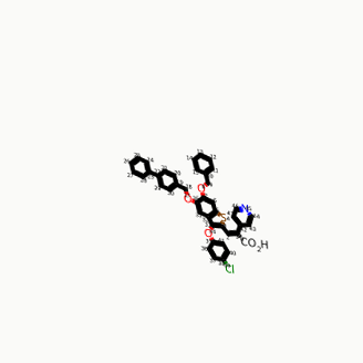 O=C(O)/C(=C/c1sc2cc(OCc3ccccc3)c(OCc3ccc(-c4ccccc4)cc3)cc2c1Oc1ccc(Cl)cc1)c1ccncc1